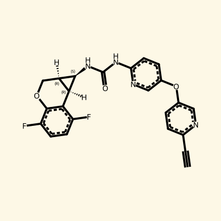 C#Cc1ccc(Oc2ccc(NC(=O)N[C@@H]3[C@@H]4COc5c(F)ccc(F)c5[C@@H]43)nc2)cn1